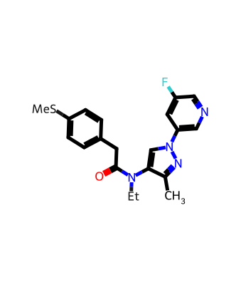 CCN(C(=O)Cc1ccc(SC)cc1)c1cn(-c2cncc(F)c2)nc1C